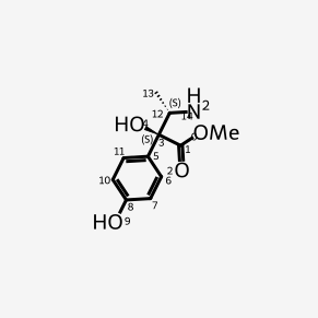 COC(=O)[C@](O)(c1ccc(O)cc1)[C@H](C)N